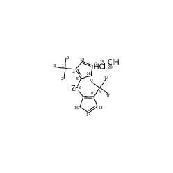 CC(C)(C)C1=[C]([Zr][C]2=C(C(C)(C)C)C=CC2)CC=C1.Cl.Cl